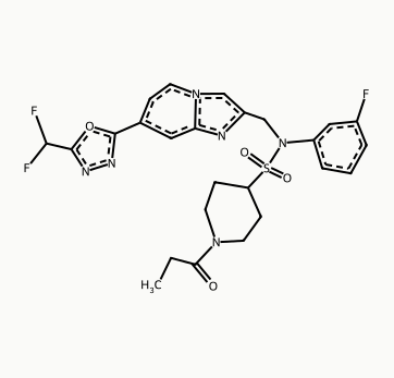 CCC(=O)N1CCC(S(=O)(=O)N(Cc2cn3ccc(-c4nnc(C(F)F)o4)cc3n2)c2cccc(F)c2)CC1